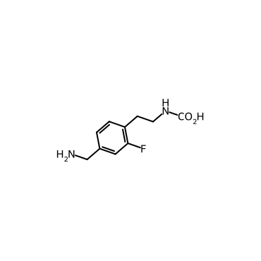 NCc1ccc(CCNC(=O)O)c(F)c1